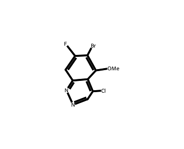 COc1c(Br)c(F)cc2nncc(Cl)c12